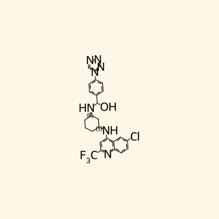 OC(N[C@@H]1CCC[C@H](Nc2cc(C(F)(F)F)nc3ccc(Cl)cc23)C1)c1ccc(-n2cnnn2)cc1